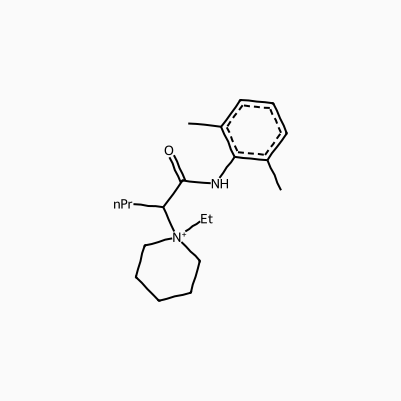 CCCC(C(=O)Nc1c(C)cccc1C)[N+]1(CC)CCCCC1